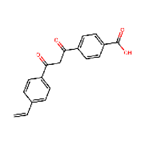 C=Cc1ccc(C(=O)CC(=O)c2ccc(C(=O)O)cc2)cc1